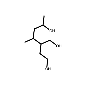 CC(O)CC(C)C(CO)CCO